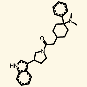 CN(C)C1(c2ccccc2)CCC(CC(=O)N2CCC(c3c[nH]c4ccccc34)C2)CC1